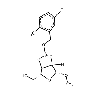 CO[C@@H]1O[C@H](CO)C2OB(OCc3cc(F)ccc3C)O[C@@H]21